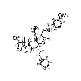 CCC(=O)N[C@]1([C@@H](C)CC)CCN([C@@H](CCc2ccccc2)C(=O)N[C@@H](CC(C)C)[C@H](O)CNCc2cccc(OC)c2)C1=O